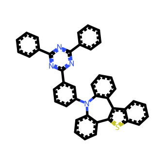 c1ccc(-c2nc(-c3ccccc3)nc(-c3cccc(N4c5ccccc5-c5sc6ccccc6c5-c5ccccc54)c3)n2)cc1